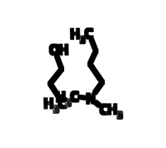 CCCCN(C)C.CCCO